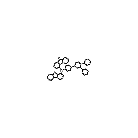 c1ccc(-c2ccc(-c3ccc(N(c4cccc5c4sc4ccccc45)c4cccc5sc6ccccc6c45)cc3)cc2-c2ccccc2)cc1